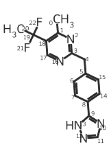 Cc1nc(Cc2ccc(-c3ncn[nH]3)cc2)ncc1C(C)(F)F